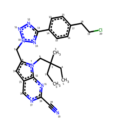 CCC(C)(CC)Cn1c(Cn2nnc(-c3ccc(CCCl)cc3)n2)cc2cnc(C#N)nc21